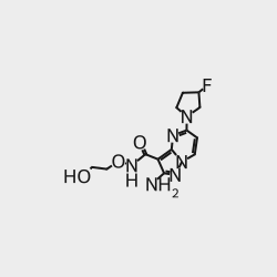 Nc1nn2ccc(N3CCC(F)C3)nc2c1C(=O)NOCCO